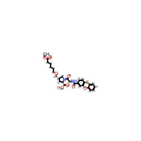 COC(=O)CCCCCOC[C@H]1C[C@@H](C(=O)O)N(C(=O)CNC(=O)c2ccc3c(c2)Oc2ccccc2S3)C1